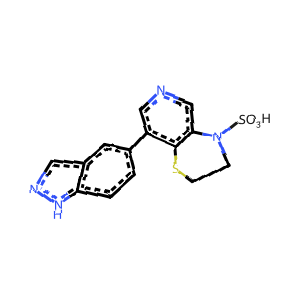 O=S(=O)(O)N1CCSc2c(-c3ccc4[nH]ncc4c3)cncc21